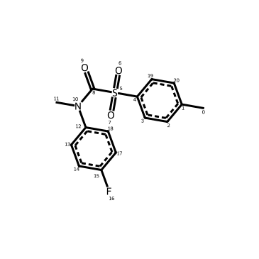 Cc1ccc(S(=O)(=O)C(=O)N(C)c2ccc(F)cc2)cc1